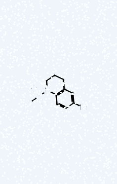 CS(=O)(=O)N1CCCc2cc(Br)ccc21